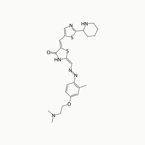 Cc1cc(OCCN(C)C)ccc1N=NC=c1[nH]c(=O)c(=Cc2cnc(C3CCCCN3)s2)s1